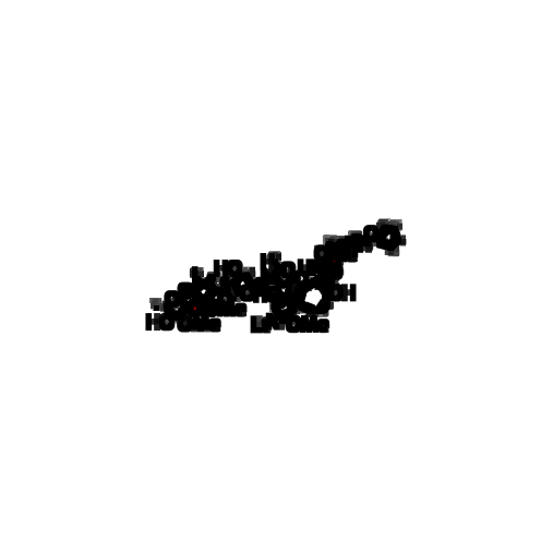 CCN[C@H]1CO[C@@H](O[C@H]2[C@H](O[C@H]3C#CC=CC#C[C@]4(O)CC(=O)C(NC(=O)OC)=C3/C4=C\CSSC(C)(C)CNCCOc3ccccc3)O[C@H](C)[C@@H](NO[C@H]3C[C@H](O)[C@H](SC(=O)c4c(C)c(I)c(O[C@@H]5O[C@@H](C)[C@H](O)[C@@H](OC)[C@H]5O)c(OC)c4OC)[C@@H](C)O3)[C@@H]2O)C[C@@H]1OC